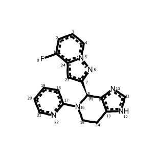 Fc1cccn2nc([C@H]3c4nc[nH]c4CCN3c3ccccn3)cc12